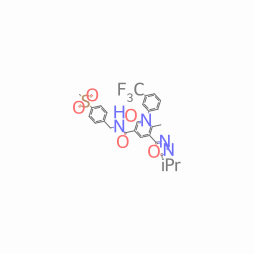 Cc1c(-c2nnc(C(C)C)o2)cc(C(=O)NCc2ccc(S(C)(=O)=O)cc2)c(=O)n1-c1cccc(C(F)(F)F)c1